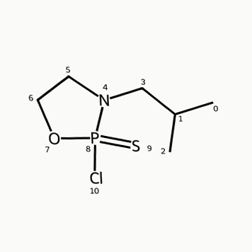 CC(C)CN1CCOP1(=S)Cl